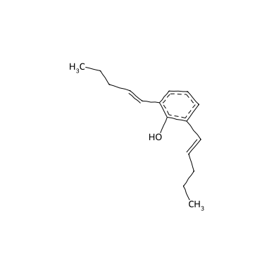 CCCC=Cc1cccc(C=CCCC)c1O